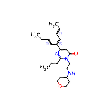 C/C=C/C=C(\C=C\CC)c1cc(=O)n(CCNC2CCOCC2)c(CCC)n1